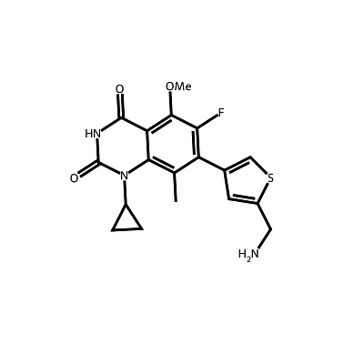 COc1c(F)c(-c2csc(CN)c2)c(C)c2c1c(=O)[nH]c(=O)n2C1CC1